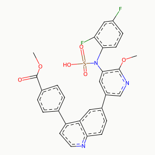 COC(=O)c1ccc(-c2ccnc3ccc(-c4cnc(OC)c(N(c5ccc(F)cc5F)S(=O)(=O)O)c4)cc23)cc1